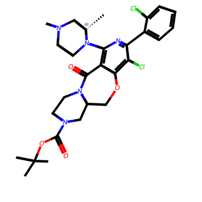 C[C@H]1CN(C)CCN1c1nc(-c2ccccc2Cl)c(Cl)c2c1C(=O)N1CCN(C(=O)OC(C)(C)C)CC1CO2